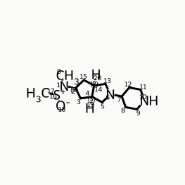 CN([C@@H]1C[C@@H]2CN(C3CCNCC3)C[C@@H]2C1)[S+](C)[O-]